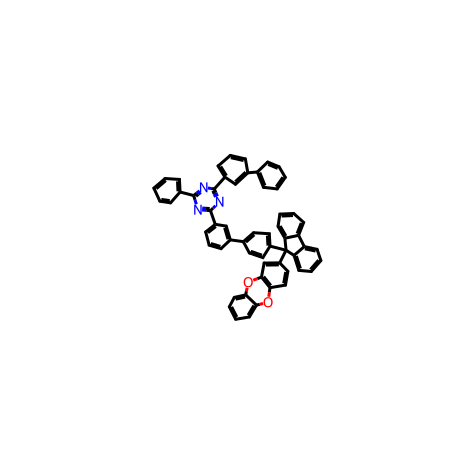 c1ccc(-c2cccc(-c3nc(-c4ccccc4)nc(-c4cccc(-c5ccc(C6(c7ccc8c(c7)Oc7ccccc7O8)c7ccccc7-c7ccccc76)cc5)c4)n3)c2)cc1